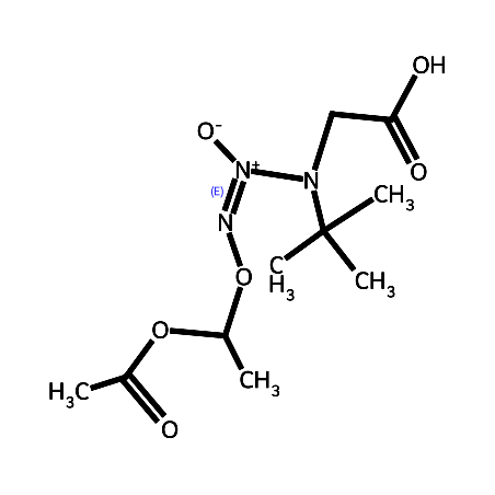 CC(=O)OC(C)O/N=[N+](/[O-])N(CC(=O)O)C(C)(C)C